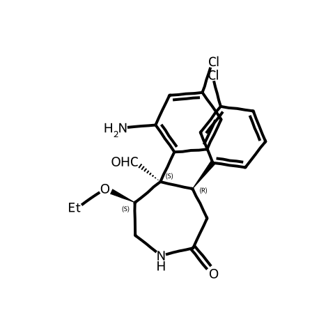 CCO[C@@H]1CNC(=O)C[C@H](c2cccc(Cl)c2)[C@]1(C=O)c1ccc(Cl)cc1N